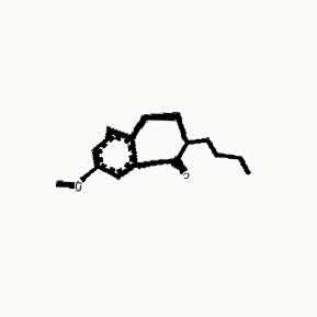 CCCCC1CCc2ccc(OC)cc2C1=O